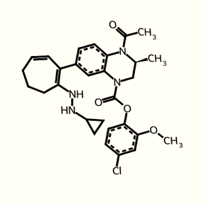 COc1cc(Cl)ccc1OC(=O)N1C[C@H](C)N(C(C)=O)c2ccc(C3=C(NNC4CC4)CCCC=C3)cc21